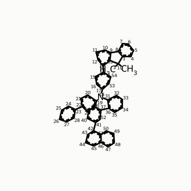 CC1(C)c2ccccc2-c2cccc(-c3ccc(N(c4ccc(-c5ccccc5)cc4)c4ccccc4-c4cccc(-c5cccc6ccccc56)c4)cc3)c21